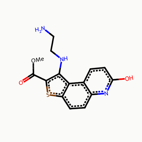 COC(=O)c1sc2ccc3nc(O)ccc3c2c1NCCN